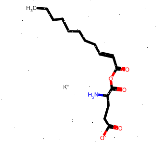 CCCCCCCCC=CC(=O)OC(=O)C(N)CCC(=O)[O-].[K+]